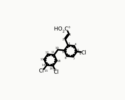 O=C(O)C=Cc1cc(Cl)ccc1Cc1ccc(Cl)c(Cl)c1